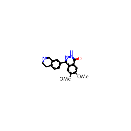 COc1cc2c(-c3ccc4c(c3)C=NCC4)n[nH]c(=O)c2cc1OC